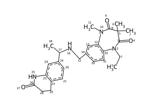 CCN1C(=O)C(C)(C)C(=O)N(C)c2cc(CNC(C)c3ccc4c(c3)NC(=O)CC4)ccc21